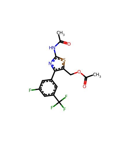 CC(=O)Nc1nc(-c2cc(F)cc(C(F)(F)F)c2)c(COC(C)=O)s1